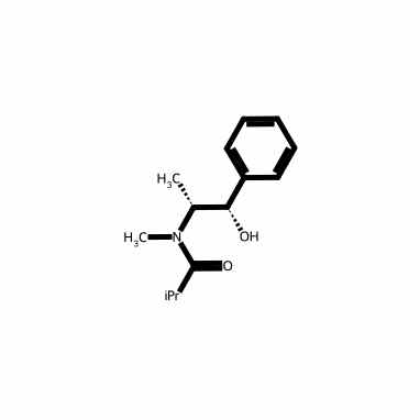 CC(C)C(=O)N(C)[C@H](C)[C@@H](O)c1ccccc1